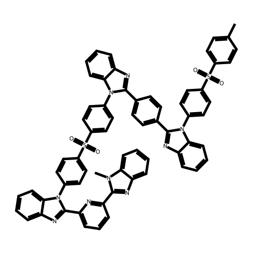 Cc1ccc(S(=O)(=O)c2ccc(-n3c(-c4ccc(-c5nc6ccccc6n5-c5ccc(S(=O)(=O)c6ccc(-n7c(-c8cccc(-c9nc%10ccccc%10n9C)n8)nc8ccccc87)cc6)cc5)cc4)nc4ccccc43)cc2)cc1